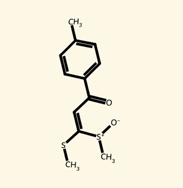 CSC(=CC(=O)c1ccc(C)cc1)[S+](C)[O-]